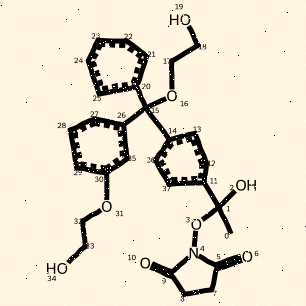 CC(O)(ON1C(=O)CCC1=O)c1ccc(C(OCCO)(c2ccccc2)c2cccc(OCCO)c2)cc1